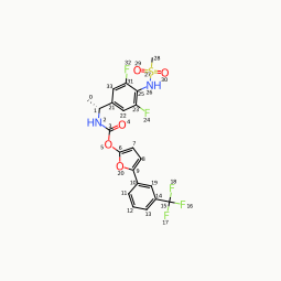 C[C@@H](NC(=O)Oc1ccc(-c2cccc(C(F)(F)F)c2)o1)c1cc(F)c(NS(C)(=O)=O)c(F)c1